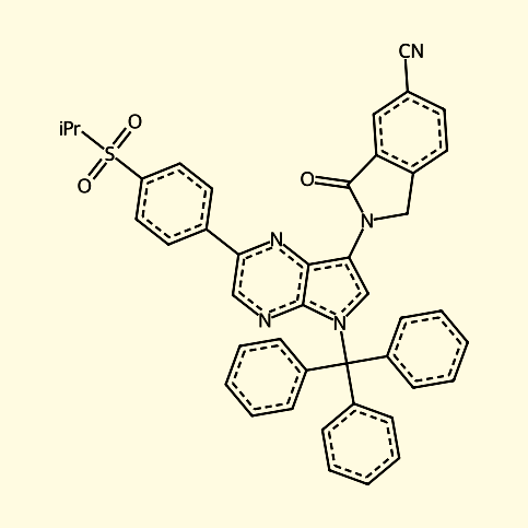 CC(C)S(=O)(=O)c1ccc(-c2cnc3c(n2)c(N2Cc4ccc(C#N)cc4C2=O)cn3C(c2ccccc2)(c2ccccc2)c2ccccc2)cc1